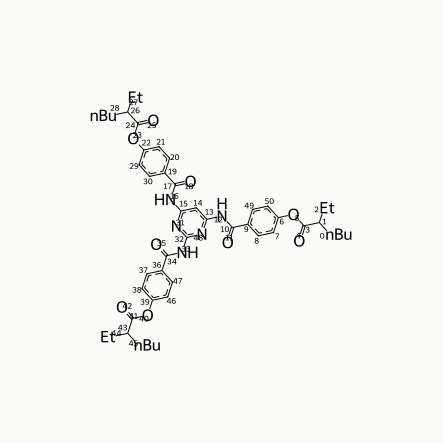 CCCCC(CC)C(=O)Oc1ccc(C(=O)Nc2cc(NC(=O)c3ccc(OC(=O)C(CC)CCCC)cc3)nc(NC(=O)c3ccc(OC(=O)C(CC)CCCC)cc3)n2)cc1